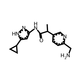 CC(C(=O)Nc1cc(C2CC2)[nH]n1)c1ccc(CN)nc1